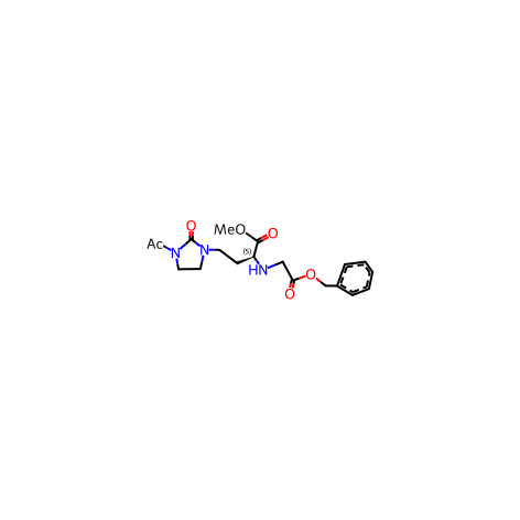 COC(=O)[C@H](CCN1CCN(C(C)=O)C1=O)NCC(=O)OCc1ccccc1